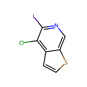 Clc1c(I)ncc2sccc12